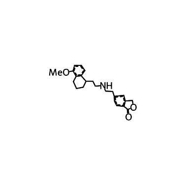 COc1cccc2c1CCCC2CCNCCc1ccc2c(c1)COC2=O